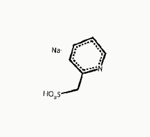 O=S(=O)(O)Cc1ccccn1.[Na]